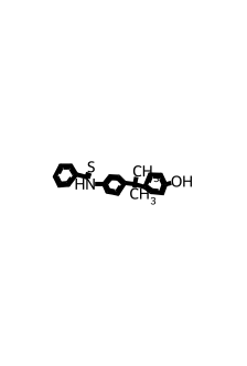 CC(C)(c1ccc(O)cc1)c1ccc(NC(=S)c2ccccc2)cc1